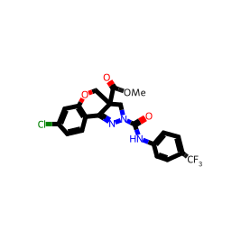 COC(=O)C12COc3cc(Cl)ccc3C1=NN(C(=O)Nc1ccc(C(F)(F)F)cc1)C2